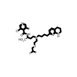 O=C(N[C@@H](CCN(CCCCc1ccc2c(n1)NCCC2)CCOCC(F)F)C(=O)O)c1c(F)cncc1Cl